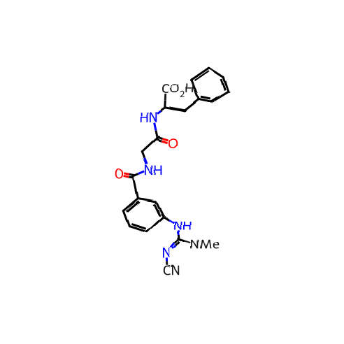 CNC(=NC#N)Nc1cccc(C(=O)NCC(=O)NC(Cc2ccccc2)C(=O)O)c1